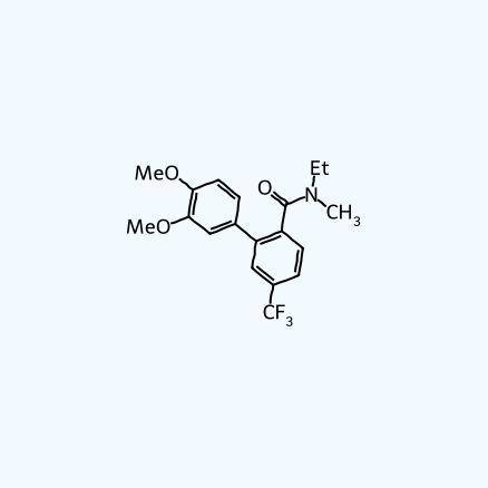 CCN(C)C(=O)c1ccc(C(F)(F)F)cc1-c1ccc(OC)c(OC)c1